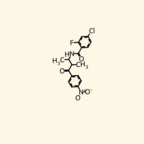 CC(NC(=O)c1ccc(Cl)cc1F)C(C)C(=O)c1ccc([N+](=O)[O-])cc1